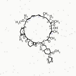 CO[C@H]1C[C@H]2CCC(C)C(O)(O2)C(=O)C(=O)N2CCCC[C@H]2C(=O)O[C@H]([C@H](C)C[C@@H]2CC[C@@H](n3cnnn3)[C@H](OC)C2)CC(=O)[C@H](C)/C=C(\C)[C@@H](O)[C@@H](OC)C(=O)[C@H](C)C[C@H](C)/C=C/C=C/C=C/1C